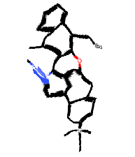 Cc1c2c(c(CC(C)(C)C)c3ccccc13)Oc1cc3ccc([Si](C)(C)C)cc3c3cc[n+](C)c-2c13